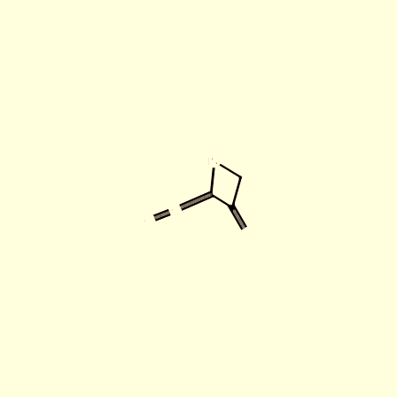 O=C=C1NCC1=O